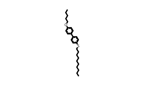 CCCCCCCCCCSc1ccc(-c2ccc(OCCCCC)cc2)cc1